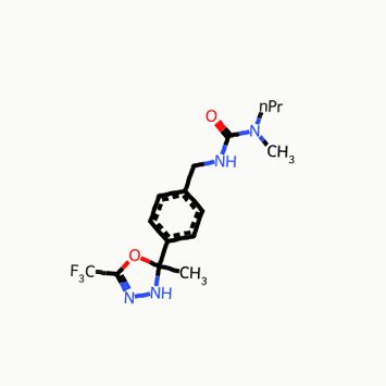 CCCN(C)C(=O)NCc1ccc(C2(C)NN=C(C(F)(F)F)O2)cc1